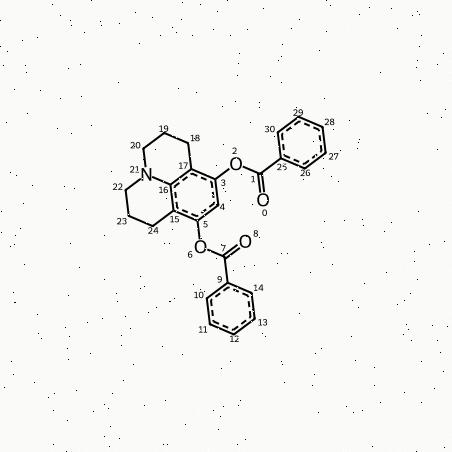 O=C(Oc1cc(OC(=O)c2ccccc2)c2c3c1CCCN3CCC2)c1ccccc1